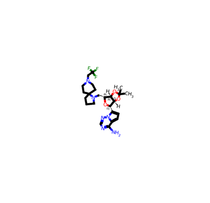 CC1(C)O[C@@H]2[C@H](O1)[C@@H](CN1CCCC13CCN(CC(F)(F)F)CC3)O[C@H]2c1ccc2c(N)ncnn12